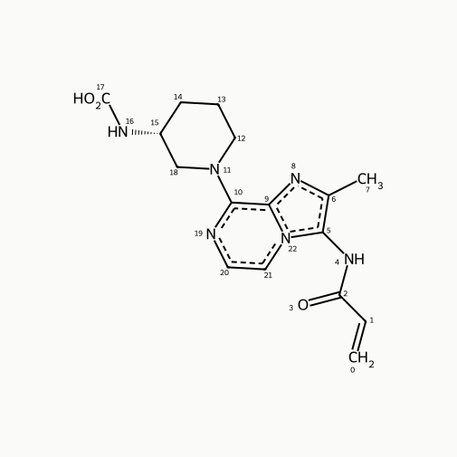 C=CC(=O)Nc1c(C)nc2c(N3CCC[C@@H](NC(=O)O)C3)nccn12